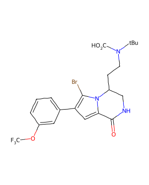 CC(C)(C)N(CCC1CNC(=O)c2cc(-c3cccc(OC(F)(F)F)c3)c(Br)n21)C(=O)O